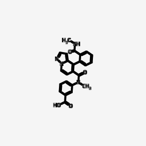 CNC(=O)c1ccccc1-c1c(C(=O)N(C)c2cccc(C(=O)O)c2)ccn2nccc12